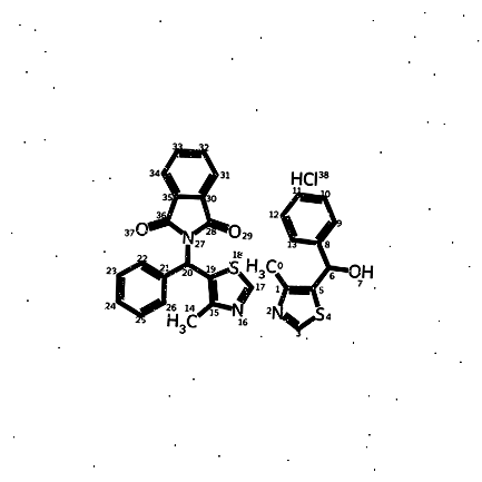 Cc1ncsc1C(O)c1ccccc1.Cc1ncsc1C(c1ccccc1)N1C(=O)c2ccccc2C1=O.Cl